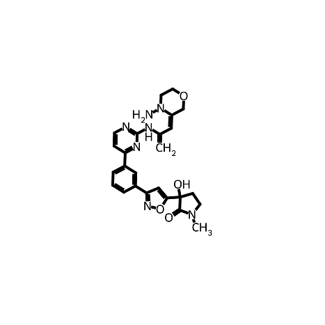 C=C(/C=C1/COCCN1N)Nc1nccc(-c2cccc(-c3cc(C4(O)CCN(C)C4=O)on3)c2)n1